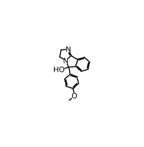 COc1ccc(C2(O)c3ccccc3C3=NCCN32)cc1